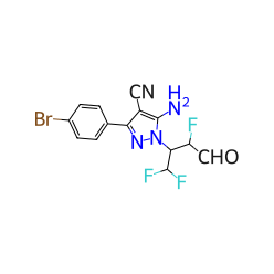 N#Cc1c(-c2ccc(Br)cc2)nn(C(C(F)F)C(F)C=O)c1N